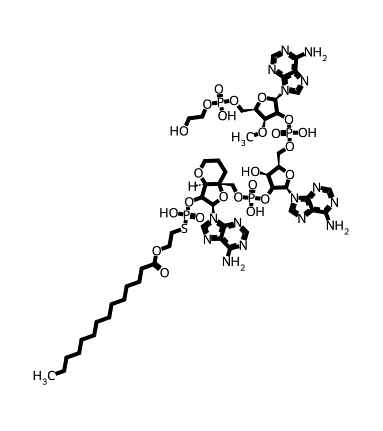 CCCCCCCCCCCCCC(=O)OCCSP(=O)(O)OC1[C@H](n2cnc3c(N)ncnc32)O[C@@]2(COP(=O)(O)OC3[C@@H](O)[C@@H](COP(=O)(O)OC4[C@@H](OC)[C@@H](COP(=O)(O)OCCO)O[C@H]4n4cnc5c(N)ncnc54)O[C@H]3n3cnc4c(N)ncnc43)CCCO[C@H]12